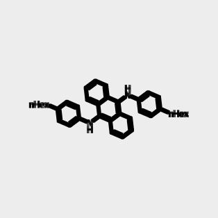 CCCCCCc1ccc(Nc2c3ccccc3c(Nc3ccc(CCCCCC)cc3)c3ccccc23)cc1